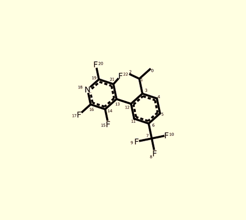 CC(C)c1ccc(C(F)(F)F)cc1-c1c(F)c(F)nc(F)c1F